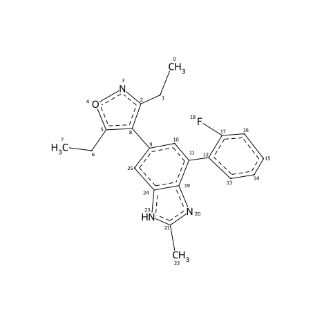 CCc1noc(CC)c1-c1cc(-c2ccccc2F)c2nc(C)[nH]c2c1